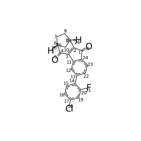 O=C1C2=C(C(=O)[C@@H]3CC[C@H]2C3)c2cc(-c3ccc(Cl)cc3F)ccc21